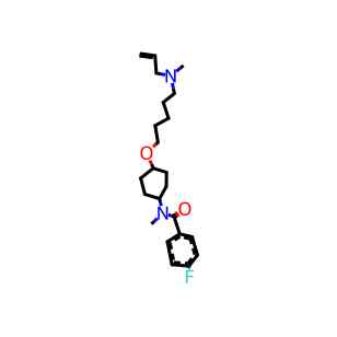 C=CCN(C)CCCCCOC1CCC(N(C)C(=O)c2ccc(F)cc2)CC1